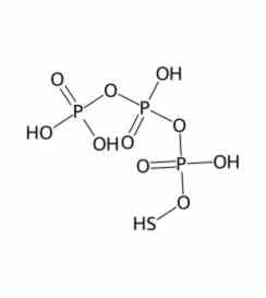 O=P(O)(O)OP(=O)(O)OP(=O)(O)OS